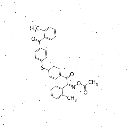 CC(=O)O/N=C(\C(=O)C1=CCC(Sc2ccc(C(=O)c3ccccc3C)cc2)C=C1)c1ccccc1C